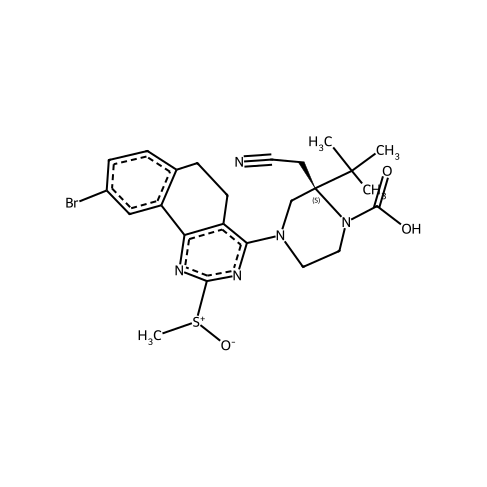 C[S+]([O-])c1nc2c(c(N3CCN(C(=O)O)[C@@](CC#N)(C(C)(C)C)C3)n1)CCc1ccc(Br)cc1-2